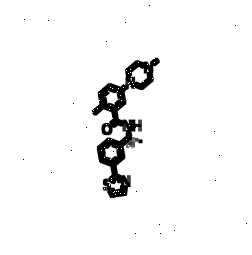 Cc1ccc(N2CCN(C)CC2)cc1C(=O)N[C@H](C)c1cccc(-c2nccs2)c1